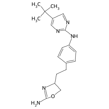 CC(C)(C)c1cnc(Nc2ccc(CCC3COC(N)=N3)cc2)nc1